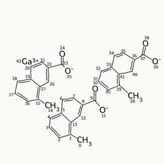 Cc1cccc2ccc(C(=O)[O-])cc12.Cc1cccc2ccc(C(=O)[O-])cc12.Cc1cccc2ccc(C(=O)[O-])cc12.[Ga+3]